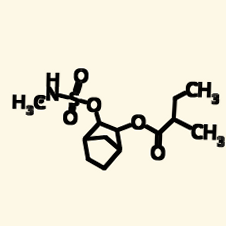 CCC(C)C(=O)OC1C2CCC(C2)C1OS(=O)(=O)NC